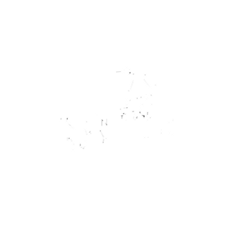 CN(C(=O)c1cc(=O)cco1)C1CCC23CCC1C21CCN(CC2CC2)C3Cc2ccc(O)cc21